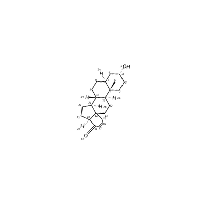 C[C@]12CC[C@@H](O)C[C@@H]1CC[C@@H]1[C@@H]2CC[C@@]23CC=CC(=O)[C@H]2CC[C@@H]13